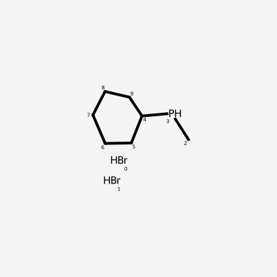 Br.Br.CPC1CCCCC1